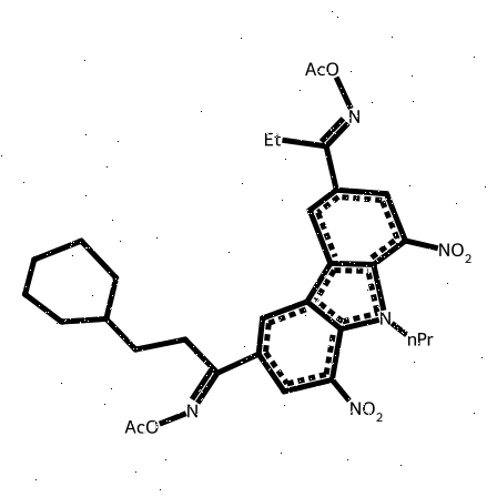 CCCn1c2c([N+](=O)[O-])cc(/C(CC)=N/OC(C)=O)cc2c2cc(/C(CCC3CCCCC3)=N/OC(C)=O)cc([N+](=O)[O-])c21